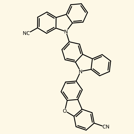 N#Cc1ccc2oc3ccc(-n4c5ccccc5c5cc(-n6c7ccccc7c7ccc(C#N)cc76)ccc54)cc3c2c1